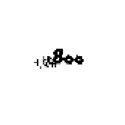 CSc1nc2cc(-c3ccc(-c4ccccc4)cc3)c3ccccc3c2[nH]1